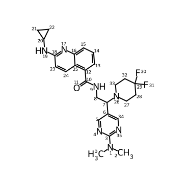 CN(C)c1ncc(C(CNC(=O)c2cccc3nc(NC4CC4)ccc23)N2CCC(F)(F)CC2)cn1